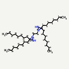 CCCCCCCCC1(CCCCCCCC)NN1CCN1NC1(CCCCCCCC)CCCCCCCC